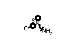 CC(C)(N)CCN1c2ccccc2Sc2cc(Cl)ccc21